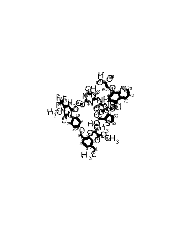 CCc1ccc(COc2ccc(-n3c(=O)cc(C(F)(F)F)n(C)c3=O)cc2)c(OC(C)C(=O)OC)c1.COc1nc(C)nc(NC(=O)NS(=O)(=O)c2ccsc2C(=O)O)n1.O=C(O)COc1ccc(Cl)c2cccnc12